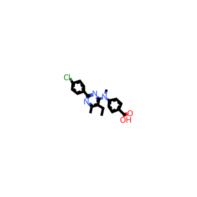 CCc1c(C)nc(-c2ccc(Cl)cc2)nc1N(C)c1ccc(C(=O)O)cc1